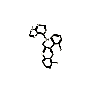 Fc1cccc2nc(CNc3ncnc4[nH]cnc34)c(-c3ccccc3Cl)nc12